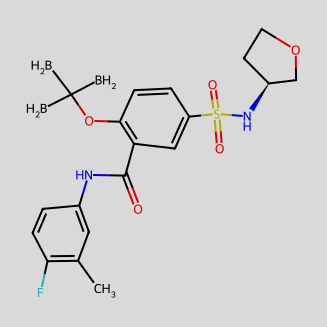 BC(B)(B)Oc1ccc(S(=O)(=O)N[C@H]2CCOC2)cc1C(=O)Nc1ccc(F)c(C)c1